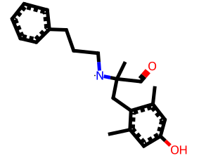 Cc1cc(O)cc(C)c1CC(C)(C=O)[N]CCCc1ccccc1